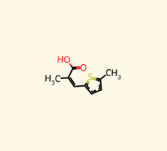 CC(=Cc1ccc(C)s1)C(=O)O